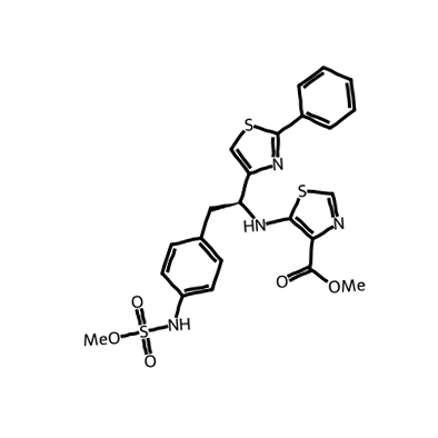 COC(=O)c1ncsc1N[C@@H](Cc1ccc(NS(=O)(=O)OC)cc1)c1csc(-c2ccccc2)n1